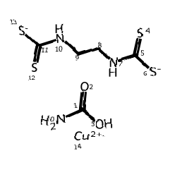 NC(=O)O.S=C([S-])NCCNC(=S)[S-].[Cu+2]